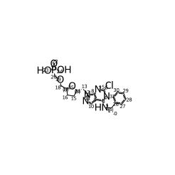 C[C@H](Nc1nc(Cl)nc2c1cnn2C[C@@H]1CC[C@@H](COCP(=O)(O)O)O1)c1ccccc1